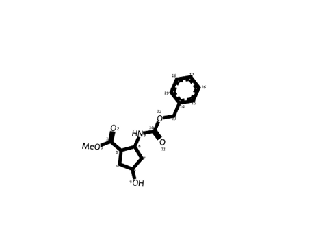 COC(=O)C1CC(O)CC1NC(=O)OCc1ccccc1